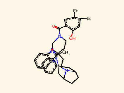 CCc1cc(O)c(C(=O)N2CCC(CCN3C4CCC3CC(n3c(C)nc5ccccc53)C4)(c3ccccc3)CC2)cc1CC